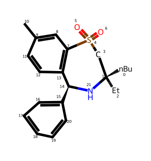 CCCC[C@]1(CC)CS(=O)(=O)c2cc(C)ccc2[C@H](c2ccccc2)N1